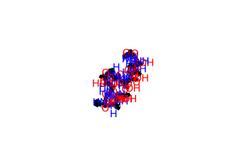 CC[C@H](C)[C@H](NC(=O)CNC(=O)[C@H](Cc1ccccc1)NC(=O)CNC(=O)CNC(=O)[C@H](CO)NC(=O)[C@H](CO)NC(=O)[C@@H](NC(=O)[C@@H]1CCCN1C(=O)[C@@H](NC(=O)CNC(=O)[C@H](CCC(=O)O)NC(=O)[C@H](CCC(=O)O)NC(=O)[C@H](CO)NC(=O)[C@H](CC(C)C)NC(=O)[C@@H](NC(=O)[C@H](CO)NC(=O)CNC(=O)[C@@H](NC(=O)[C@H](C)N)C(C)C)[C@@H](C)CC)C(C)C)[C@@H](C)CC)C(=O)N[C@@H](CO)C(=O)NCC(=O)N[C@@H](CC(C)C)C(=O)O